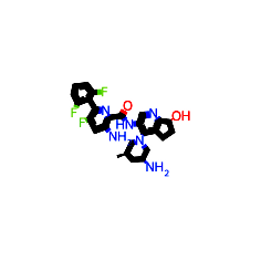 C[C@@H]1C[C@H](N)CN(c2c(NC(=O)c3nc(-c4c(F)cccc4F)c(F)cc3N)cnc3c2CC[C@H]3O)C1